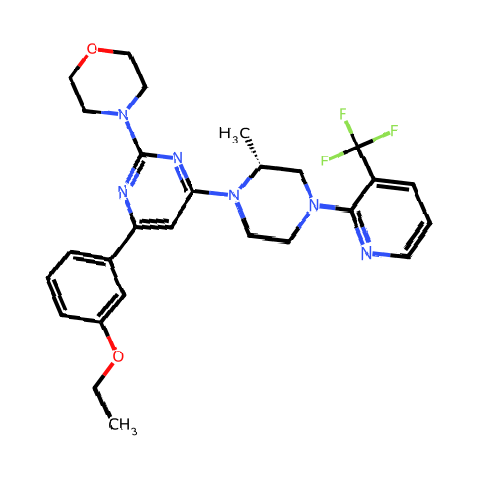 CCOc1cccc(-c2cc(N3CCN(c4ncccc4C(F)(F)F)C[C@H]3C)nc(N3CCOCC3)n2)c1